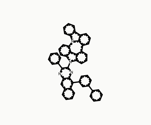 c1ccc(-c2cccc(-c3c4ccccc4cc4nc(-c5ccccc5)c(-n5c6cccc7c8cccc9c%10ccccc%10n(c%10cccc5c%10c76)c89)nc34)c2)cc1